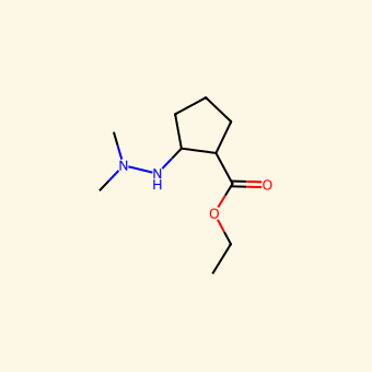 CCOC(=O)C1CCCC1NN(C)C